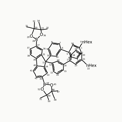 CCCCCCc1cccc(-c2cccc(C3(c4cccc(-c5cccc(CCCCCC)c5)c4)c4cc(B5OC(C)(C)C(C)(C)O5)ccc4-c4ccc(B5OC(C)(C)C(C)(C)O5)cc43)c2)c1